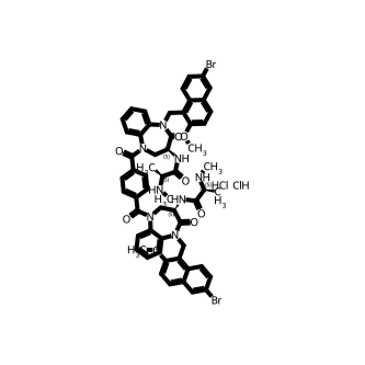 CN[C@@H](C)C(=O)N[C@H]1CN(C(=O)c2ccc(C(=O)N3C[C@H](NC(=O)[C@H](C)NC)C(=O)N(Cc4c(OC)ccc5cc(Br)ccc45)c4ccccc43)cc2)c2ccccc2N(Cc2c(OC)ccc3cc(Br)ccc23)C1=O.Cl.Cl